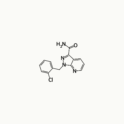 NC(=O)c1nn(Cc2ccccc2Cl)c2ncccc12